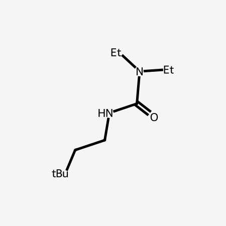 CCN(CC)C(=O)NCCC(C)(C)C